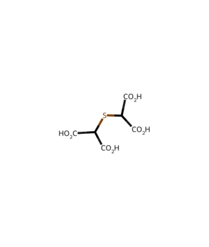 O=C(O)C(SC(C(=O)O)C(=O)O)C(=O)O